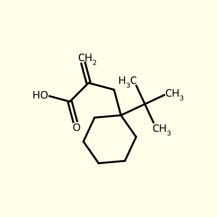 C=C(CC1(C(C)(C)C)CCCCC1)C(=O)O